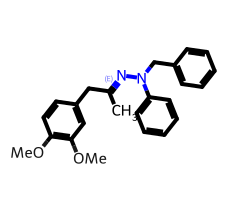 COc1ccc(C/C(C)=N/N(Cc2ccccc2)c2ccccc2)cc1OC